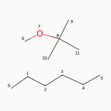 CCCCCC.COC(C)(C)C